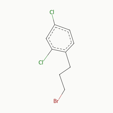 Clc1ccc(CCCBr)c(Cl)c1